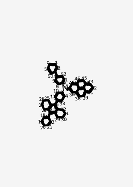 c1ccc(-c2ccc(N(c3ccc(-c4c5c(c(-c6ccccc6)c6c4CCCC6)CCCC5)cc3)c3cc4ccc5cccc6ccc(c3)c4c56)cc2)cc1